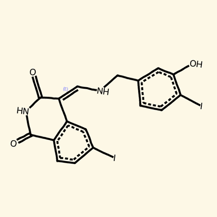 O=C1NC(=O)c2ccc(I)cc2/C1=C\NCc1ccc(I)c(O)c1